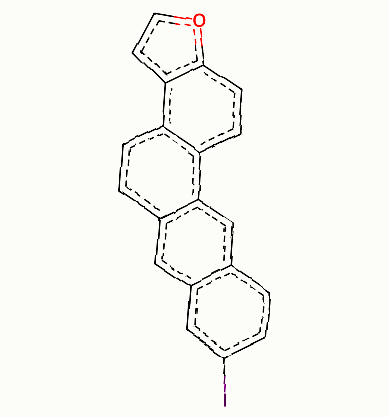 Ic1ccc2cc3c(ccc4c5ccoc5ccc34)cc2c1